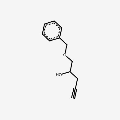 C#CCC(O)COCc1ccccc1